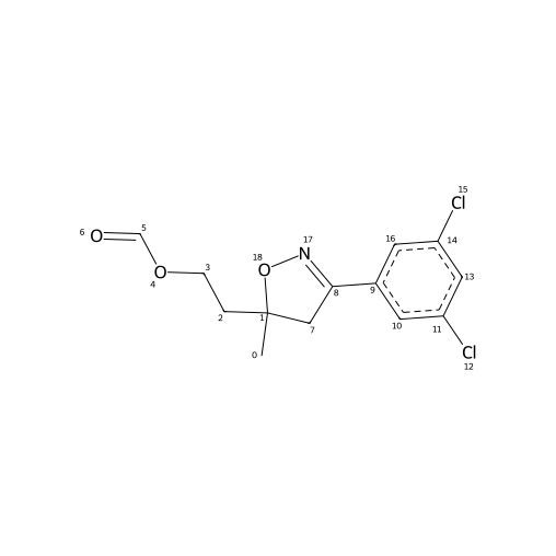 CC1(CCOC=O)CC(c2cc(Cl)cc(Cl)c2)=NO1